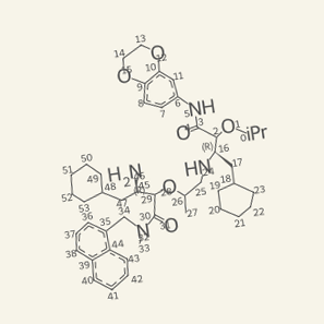 CC(C)OC(C(=O)Nc1ccc2c(c1)OCCO2)[C@@H](CC1CCCCC1)NCC(C)OC(C(=O)N(C)Cc1cccc2ccccc12)[C@H](N)CC1CCCCC1